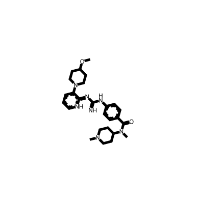 COC1CCN(c2ccc[nH]/c2=N\C(=N)Nc2ccc(C(=O)N(C)C3CCN(C)CC3)cc2)CC1